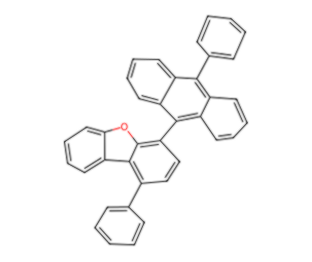 c1ccc(-c2c3ccccc3c(-c3ccc(-c4ccccc4)c4c3oc3ccccc34)c3ccccc23)cc1